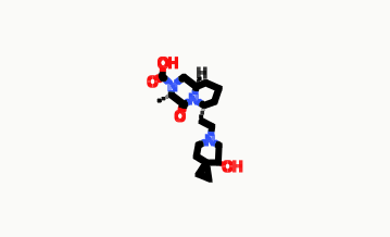 C[C@H]1C(=O)N2[C@@H](CCN3CCC4(CC4)[C@H](O)C3)CCC[C@@H]2CN1C(=O)O